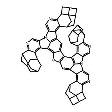 c1c2c(oc3cc4c5c6c(ncc5n5c7cnc8c(c7c(c32)c45)C2CC3CC4CC8CC43C2)C2CC3CC4CC6CC432)c2c3c4c(ncc3n3c5cnc6c(c5c1c23)C1CC2CC3CC6C23C1)C1CC2CC(C1)CC4C2